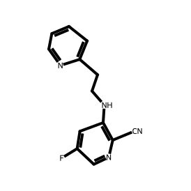 N#Cc1ncc(F)cc1NCCc1ccccn1